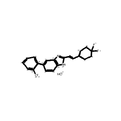 Cl.FC1(F)CCC(C=Cc2nc3cc(-c4ccccc4C(F)(F)F)ccc3[nH]2)CC1